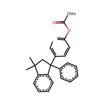 C=C(/C=C\C(=C/C)C1(c2ccccc2)CC(C)(C)c2ccccc21)OC(=O)OC